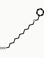 O=CCCCCCCCCCCCOCc1ccccc1